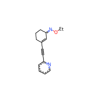 CCO/N=C1\C=C(C#Cc2ccccn2)CCC1